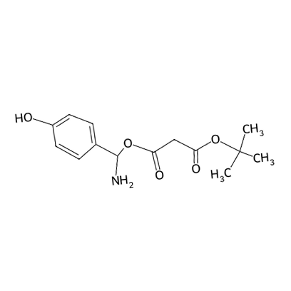 CC(C)(C)OC(=O)CC(=O)OC(N)c1ccc(O)cc1